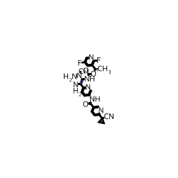 C[C@@H](OC(=O)N/C(=C(/N)c1ccc(NC(=O)c2ccc(C3(C#N)CC3)nc2)cn1)N(C)N)c1cc(F)cnc1F